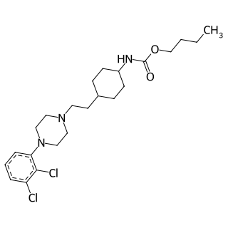 CCCCOC(=O)NC1CCC(CCN2CCN(c3cccc(Cl)c3Cl)CC2)CC1